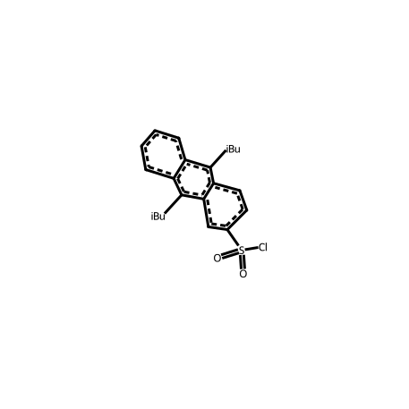 CCC(C)c1c2ccccc2c(C(C)CC)c2cc(S(=O)(=O)Cl)ccc12